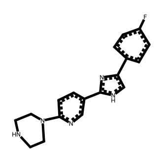 Fc1ccc(-c2c[nH]c(-c3ccc(N4CCNCC4)nc3)n2)cc1